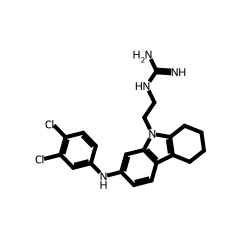 N=C(N)NCCn1c2c(c3ccc(Nc4ccc(Cl)c(Cl)c4)cc31)CCCC2